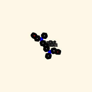 CCCCCCCCC1(CCCCCCCC)c2cc(N(c3ccccc3)c3ccc4c(c3)C3CCC4O3)ccc2-c2ccc(N(c3ccccc3)c3ccc4c5ccc(o5)c4c3)cc21